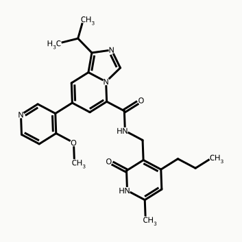 CCCc1cc(C)[nH]c(=O)c1CNC(=O)c1cc(-c2cnccc2OC)cc2c(C(C)C)ncn12